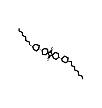 CCCCCCCC[C@H]1CC[C@H](C2CCC3(CC2)C(=O)C2(CCC([C@H]4CC[C@H](CCCCCCCC)CC4)CC2)C3=O)CC1